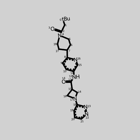 CC(C)(C)CC(=O)N1CCC(c2ccc(NC(=O)C3CN(c4cccnn4)C3)cn2)CC1